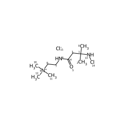 CC(C)(CC(=O)NCC[N+](C)(C)C)NCl.[Cl-]